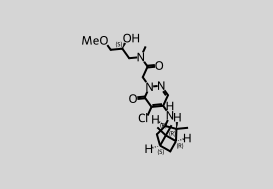 COC[C@@H](O)CN(C)C(=O)Cn1ncc(N[C@@H]2C[C@@H]3C[C@H]([C@H]2C)C3(C)C)c(Cl)c1=O